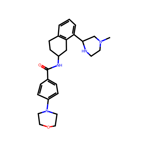 CN1CCNC(c2cccc3c2CC(NC(=O)c2ccc(N4CCOCC4)cc2)CC3)C1